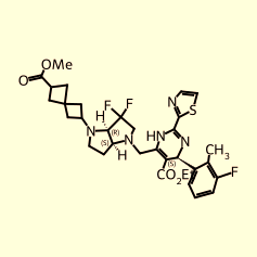 CCOC(=O)C1=C(CN2CC(F)(F)[C@H]3[C@@H]2CCN3C2CC3(CC(C(=O)OC)C3)C2)NC(c2nccs2)=N[C@H]1c1cccc(F)c1C